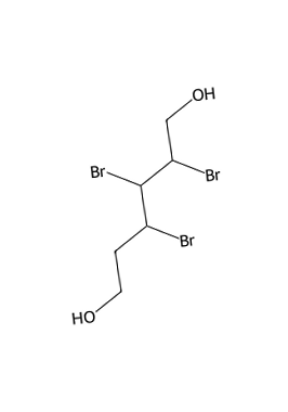 OCCC(Br)C(Br)C(Br)CO